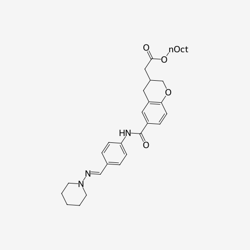 CCCCCCCCOC(=O)CC1COc2ccc(C(=O)Nc3ccc(C=NN4CCCCC4)cc3)cc2C1